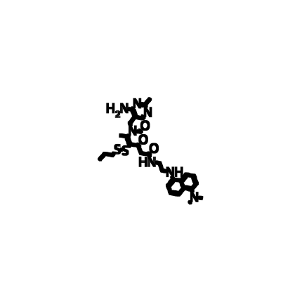 CCCSSC(C(=O)CC(=O)NCCNc1cccc2c(N(C)C)cccc12)=C(C)N(C=O)Cc1cnc(C)nc1N